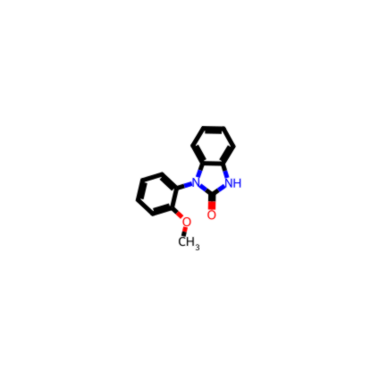 COc1ccccc1-n1c(=O)[nH]c2ccccc21